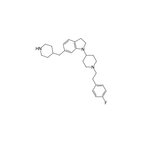 Fc1ccc(CCN2CCC(N3CCc4ccc(CC5CCNCC5)cc43)CC2)cc1